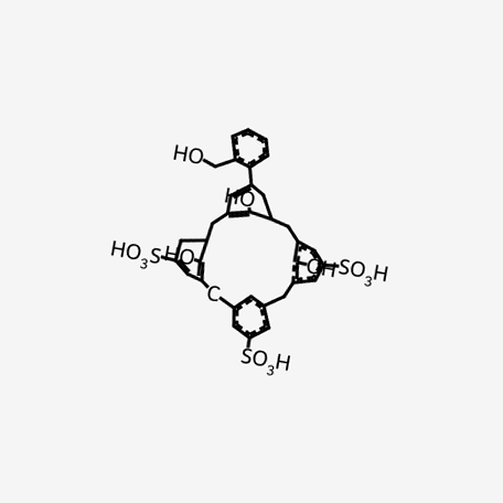 O=S(=O)(O)C1=CC2=C(O)C(C1)CC1=C(O)C(CC(c3ccccc3CO)=C1)Cc1cc(S(=O)(=O)O)cc(c1O)Cc1cc(cc(S(=O)(=O)O)c1)C2